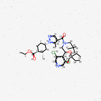 CCOC(=O)[C@H]1CC[C@H](n2ncc(C(=O)N(CC(O[Si](CC)(CC)CC)c3c(Cl)cncc3Cl)CC(C)(C)C)c2C)C[C@@H]1C